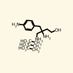 CC(=O)O.CC(=O)O.CC(=O)O.NCC(N)(CCO)Cc1ccc(N)cc1